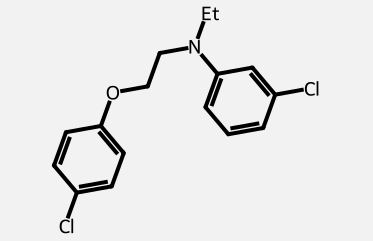 CCN(CCOc1ccc(Cl)cc1)c1cccc(Cl)c1